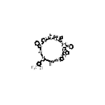 CC[C@H](C)[C@H]1CN[C@@H](C2CCC2)C(C)NCC2[C@@H](C(=O)N3CCCCC3)C(C)N2[C@@H](C2CCCC2)C(C)NC2(CCCC2)CNCCNC=CC(CCc2ccc(C(F)(F)F)c(Cl)c2)=NC=CN(C)C=C(CC2CCCCC2)N(C)C=C2CCCN2[C@@H](C)C(C)N1